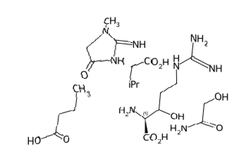 CC(C)CC(=O)O.CCCC(=O)O.CN1CC(=O)NC1=N.N=C(N)NCCC(O)[C@H](N)C(=O)O.NC(=O)CO